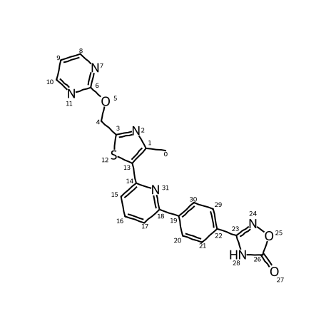 Cc1nc(COc2ncccn2)sc1-c1cccc(-c2ccc(-c3noc(=O)[nH]3)cc2)n1